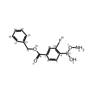 NOB(O)c1ccc(C(=O)OCc2ccccc2)cc1F